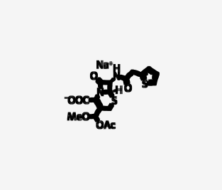 COC(OC(C)=O)C1=C(C(=O)[O-])N2C(=O)[C@@H](NC(=O)Cc3cccs3)[C@H]2SC1.[Na+]